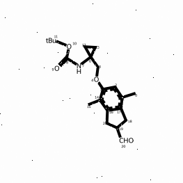 Cc1cc(OCC2(NC(=O)OC(C)(C)C)CC2)c(C)c2c1CC(C=O)C2